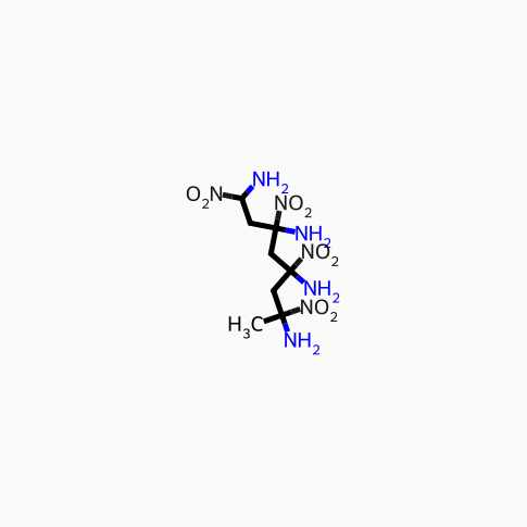 CC(N)(CC(N)(CC(N)(CC(N)[N+](=O)[O-])[N+](=O)[O-])[N+](=O)[O-])[N+](=O)[O-]